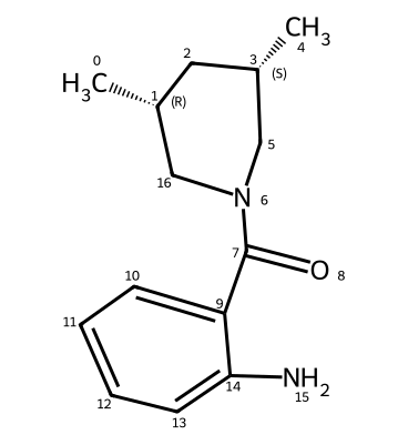 C[C@@H]1C[C@H](C)CN(C(=O)c2ccccc2N)C1